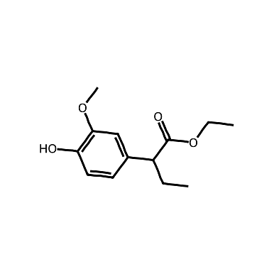 CCOC(=O)C(CC)c1ccc(O)c(OC)c1